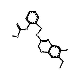 CCc1cc2c(cc1Cl)N=C(SCc1ccccc1NC(=O)OC)CO2